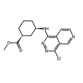 COC(=O)[C@H]1CCC[C@@H](Nc2nnc(Cl)c3cnccc23)C1